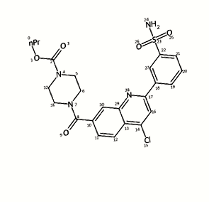 CCCOC(=O)N1CCN(C(=O)c2ccc3c(Cl)cc(-c4cccc(S(N)(=O)=O)c4)nc3c2)CC1